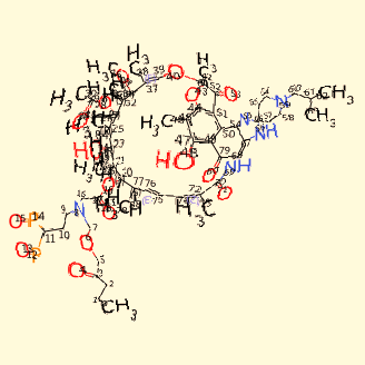 CCCC(=O)COCN(CCC(P=O)P=O)CC(=O)O[C@@H]1[C@@H](C)[C@@H](O)[C@@H](C)[C@H](OC(C)=O)[C@H](C)[C@@H](OC)/C(C)=C/O[C@@]2(C)Oc3c(C)c(O)c4c(c3C2=O)C2=NC3(CCN(CC(C)C)CC3)NC2=C(NC(=O)/C(C)=C\C=C\[C@@H]1C)C4=O